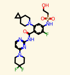 O=C(Nc1nccc(N2CCC(F)(F)CC2)n1)c1cc(F)c(NS(=O)(=O)CCO)cc1N1CCC2(CC1)CC2